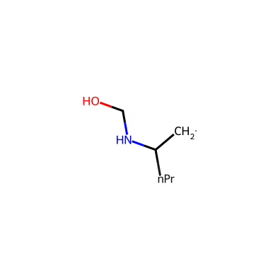 [CH2]CCC([CH2])NCO